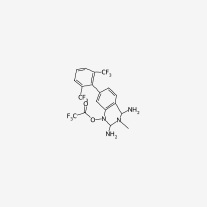 CN1C(N)c2ccc(-c3c(C(F)(F)F)cccc3C(F)(F)F)cc2N(OC(=O)C(F)(F)F)C1N